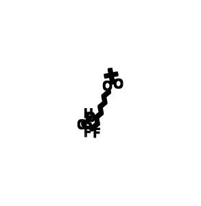 CC(C)(C)C(=O)OCCCCCCCC(F)(F)[SH](=O)=O